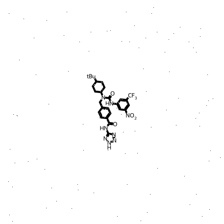 CC(C)(C)C1CCC(N(Cc2ccc(C(=O)Nc3nn[nH]n3)cc2)C(=O)Nc2cc([N+](=O)[O-])cc(C(F)(F)F)c2)CC1